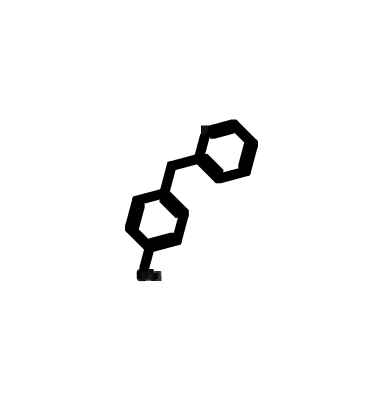 CC(=O)Oc1ccc(Cc2ccccn2)cc1